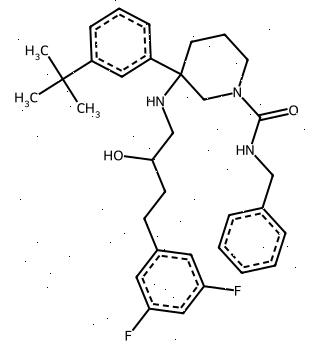 CC(C)(C)c1cccc(C2(NCC(O)CCc3cc(F)cc(F)c3)CCCN(C(=O)NCc3ccccc3)C2)c1